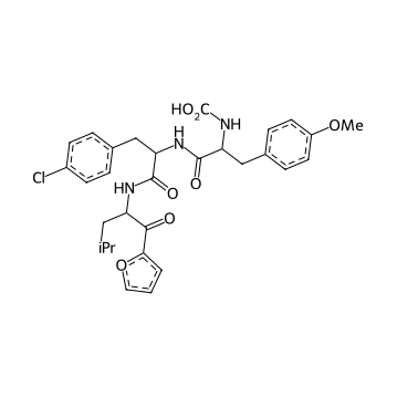 COc1ccc(CC(NC(=O)O)C(=O)NC(Cc2ccc(Cl)cc2)C(=O)NC(CC(C)C)C(=O)c2ccco2)cc1